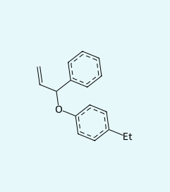 C=CC(Oc1ccc(CC)cc1)c1ccccc1